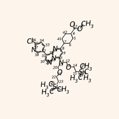 COC(=O)C1CCC(c2cc(N(COCC[Si](C)(C)C)COCC[Si](C)(C)C)n3ncc(-c4ccc(Cl)nc4)c3n2)CC1